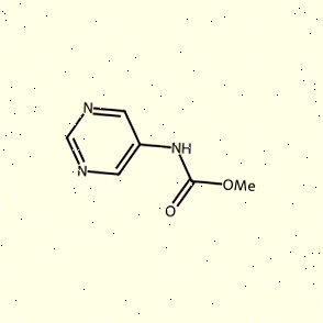 COC(=O)Nc1cncnc1